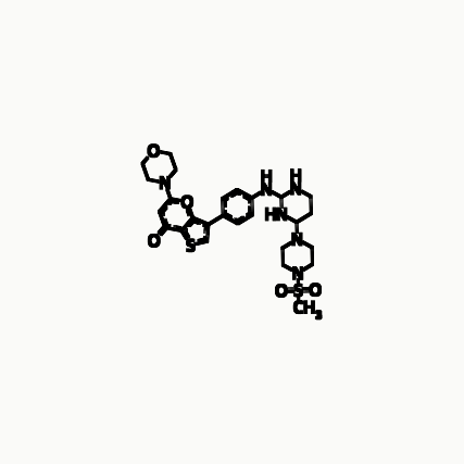 CS(=O)(=O)N1CCN(C2CCNC(Nc3ccc(-c4csc5c(=O)cc(N6CCOCC6)oc45)cc3)N2)CC1